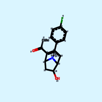 COC(=O)C1=C(c2ccc(F)cc2)CC2C(O)CC1N2C